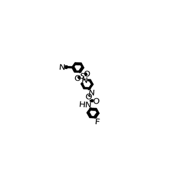 N#Cc1cccc(S(=O)(=O)N2CCC(=NOC(=O)Nc3ccc(F)cc3)CC2)c1